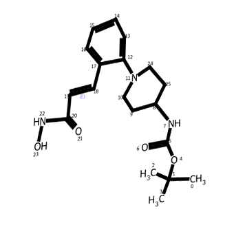 CC(C)(C)OC(=O)NC1CCN(c2ccccc2/C=C/C(=O)NO)CC1